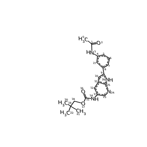 CC(=O)Nc1cccc(-c2cc3cc(NC(=O)OCC(C)(C)C)cnc3[nH]2)c1